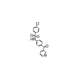 O=C(c1ccc(NS(=O)(=O)c2ccc(Cl)cc2)cc1)c1cccnc1